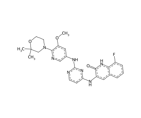 COc1cc(Nc2nccc(Nc3cc4cccc(F)c4[nH]c3=O)n2)cnc1N1CCOC(C)(C)C1